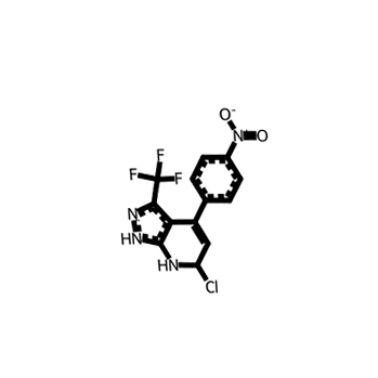 O=[N+]([O-])c1ccc(C2=CC(Cl)Nc3[nH]nc(C(F)(F)F)c32)cc1